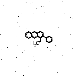 C=Cc1c(-c2ccccc2)ccc2cc3ccccc3cc12